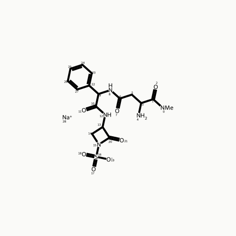 CNC(=O)C(N)CC(=O)NC(C(=O)NC1CN(S(=O)(=O)[O-])C1=O)c1ccccc1.[Na+]